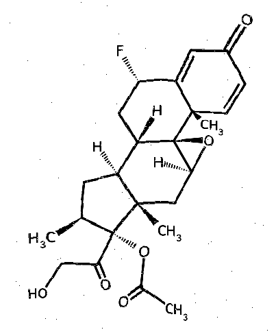 CC(=O)O[C@]1(C(=O)CO)[C@@H](C)C[C@H]2[C@@H]3C[C@H](F)C4=CC(=O)C=C[C@]4(C)[C@@]34O[C@H]4C[C@@]21C